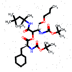 CCCCOC[C@H](NC(=O)OC(C)(C)C)C(OC(=O)[C@H](CC1CCCCC1)NC(=O)OC(C)(C)C)C(=O)NC(C)(C)CC(C)(C)C